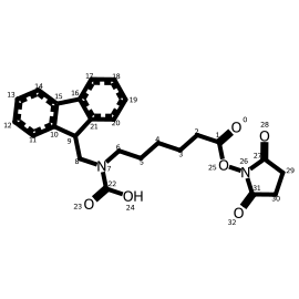 O=C(CCCCCN(CC1c2ccccc2-c2ccccc21)C(=O)O)ON1C(=O)CCC1=O